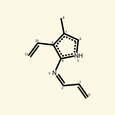 C=C/C=N\c1[nH]cc(C)c1C=C